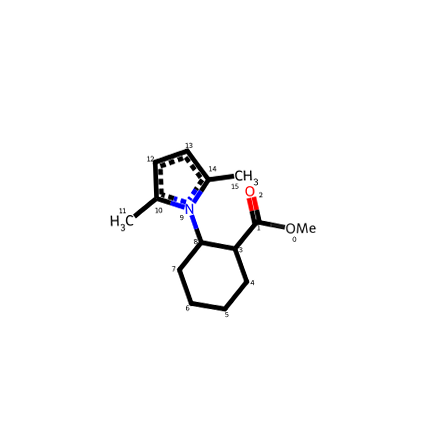 COC(=O)C1CCCCC1n1c(C)ccc1C